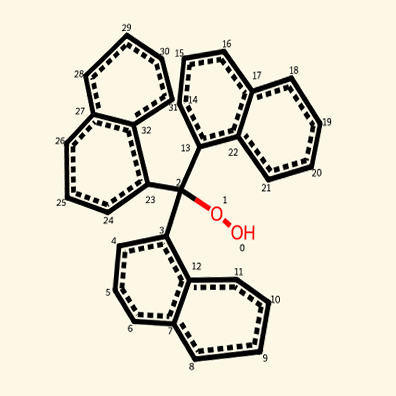 OOC(c1cccc2ccccc12)(c1cccc2ccccc12)c1cccc2ccccc12